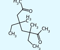 CCC(C)(CC(C)=O)CC(C)(CC)C(C)=O